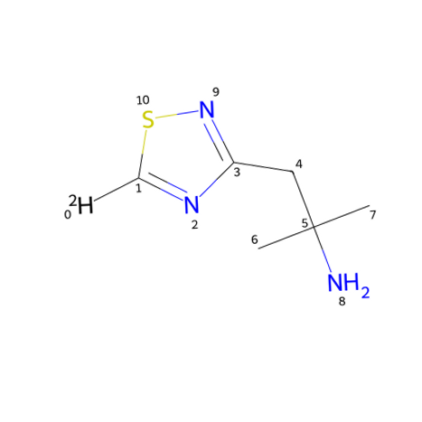 [2H]c1nc(CC(C)(C)N)ns1